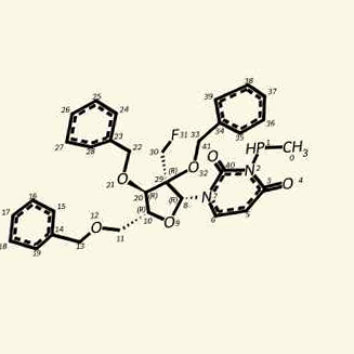 CPn1c(=O)ccn([C@@H]2O[C@H](COCc3ccccc3)[C@@H](OCc3ccccc3)[C@@]2(CF)OCc2ccccc2)c1=O